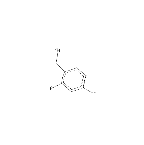 [2H]Cc1ccc(F)cc1F